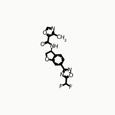 Cc1ncoc1C(=O)N[C@@H]1COc2cc(-c3noc(C(F)F)n3)ccc21